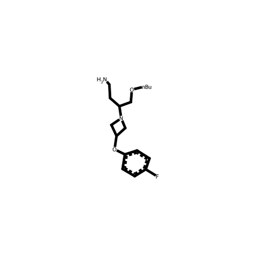 CCCCOCC(CCN)N1CC(Oc2ccc(F)cc2)C1